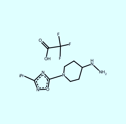 CC(C)c1noc(N2CCC(NN)CC2)n1.O=C(O)C(F)(F)F